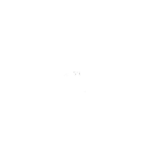 N=S(=O)(CC1CC1)c1ccco1